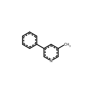 Cc1cncc(-c2c[c]ccc2)c1